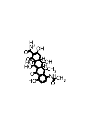 CC(=O)Nc1ccc(O)c2c1[C@H](C)[C@@H]1C(=C(O)[C@]3(O)C(=O)C(C(N)=O)=C(O)C[C@@H]3[C@H]1O)C2=O